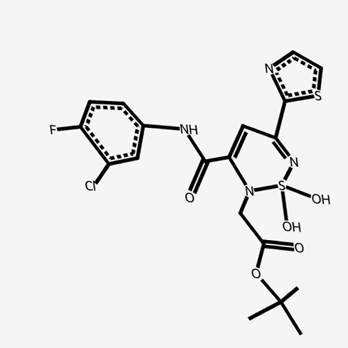 CC(C)(C)OC(=O)CN1C(C(=O)Nc2ccc(F)c(Cl)c2)=CC(c2nccs2)=NS1(O)O